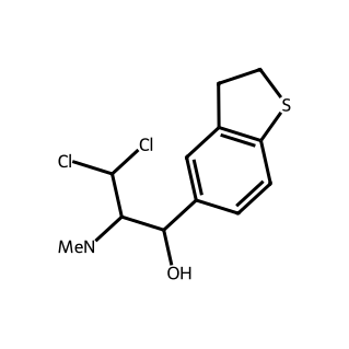 CNC(C(Cl)Cl)C(O)c1ccc2c(c1)CCS2